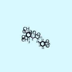 COc1ccc(CC2C(O)OC[C@@H]2Cc2ccc3c(c2)OCO3)cc1OC